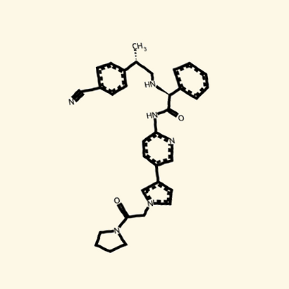 C[C@H](CN[C@H](C(=O)Nc1ccc(-c2ccn(CC(=O)N3CCCC3)c2)cn1)c1ccccc1)c1ccc(C#N)cc1